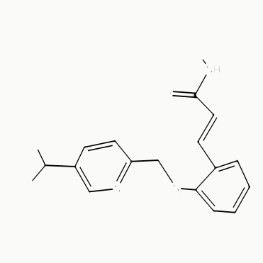 CC(C)c1ccc(CNc2ccccc2/C=C/C(=O)NO)nc1